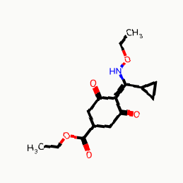 CCONC(=C1C(=O)CC(C(=O)OCC)CC1=O)C1CC1